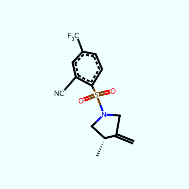 C=C1CN(S(=O)(=O)c2ccc(C(F)(F)F)cc2C#N)C[C@H]1C